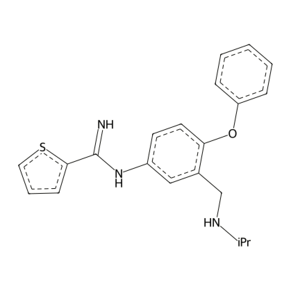 CC(C)NCc1cc(NC(=N)c2cccs2)ccc1Oc1ccccc1